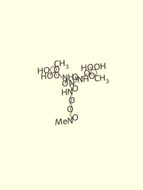 CNC(=O)CCOCCOCCNC(=O)CN(CC(=O)NCCO[C@@H]1O[C@@H](C)C[C@@H](O)[C@@H]1O)CC(=O)NCCO[C@@H]1O[C@@H](C)C[C@@H](O)[C@@H]1O